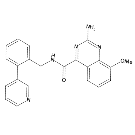 COc1cccc2c(C(=O)NCc3ccccc3-c3cccnc3)nc(N)nc12